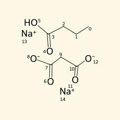 CCCC(=O)O.O=C([O-])CC(=O)[O-].[Na+].[Na+]